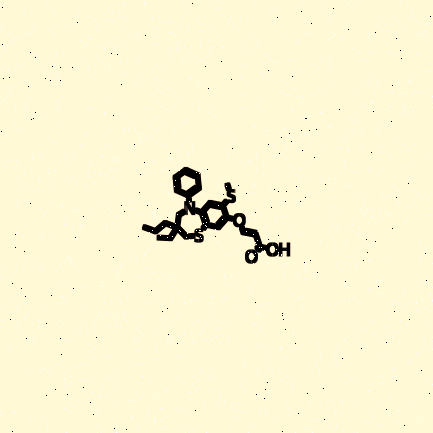 CCCC1(CC)CSc2cc(O/C=C/C(=O)O)c(SC)cc2N(c2ccccc2)C1